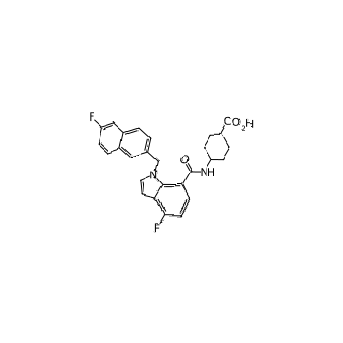 O=C(NC1CCC(C(=O)O)CC1)c1ccc(F)c2ccn(Cc3ccc4cc(F)ccc4c3)c12